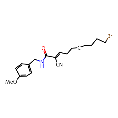 COc1ccc(CNC(=O)/C(C#N)=C/CCCCCCCBr)cc1